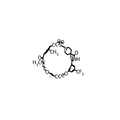 Cc1cc2ccc1CCS(=O)(=O)N1CCC3(CC1)N=C(NC3=O)c1cc(cc(C(F)(F)F)c1)OCCC/C=C/OCCN(C)C2=O